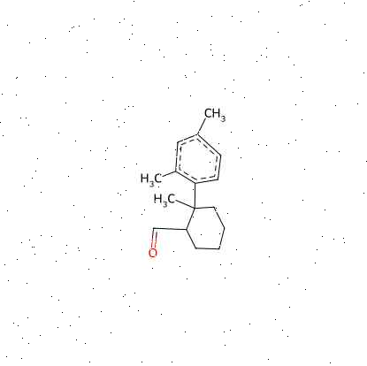 Cc1ccc(C2(C)CCCCC2C=O)c(C)c1